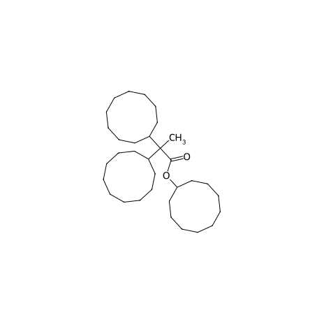 CC(C(=O)OC1CCCCCCCCC1)(C1CCCCCCCCC1)C1CCCCCCCCC1